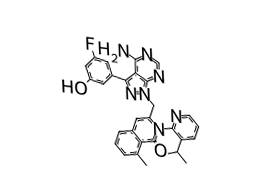 Cc1cccc2cc(Cn3nc(-c4cc(O)cc(F)c4)c4c(N)ncnc43)n(-c3ncccc3C(C)C)c(=O)c12